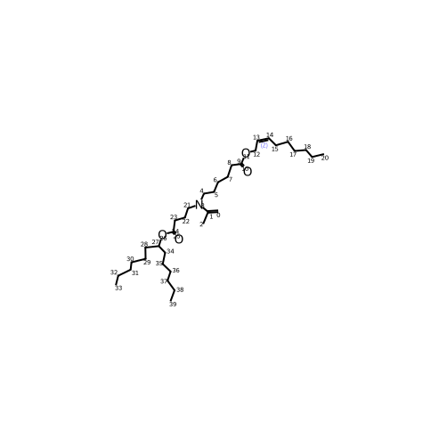 C=C(C)N(CCCCCC(=O)OC/C=C\CCCCCC)CCCC(=O)OC(CCCCCC)CCCCCC